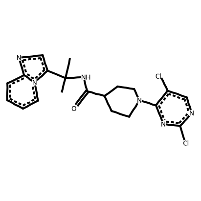 CC(C)(NC(=O)C1CCN(c2nc(Cl)ncc2Cl)CC1)c1cnc2ccccn12